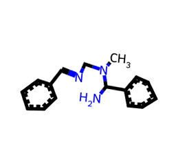 CN(C/N=C/c1ccccc1)C(N)c1ccccc1